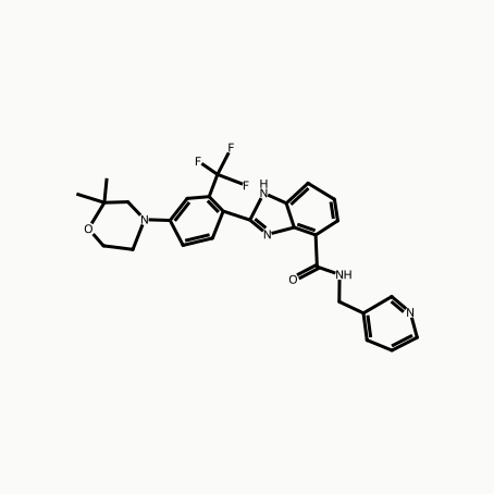 CC1(C)CN(c2ccc(-c3nc4c(C(=O)NCc5cccnc5)cccc4[nH]3)c(C(F)(F)F)c2)CCO1